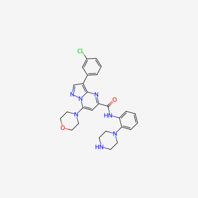 O=C(Nc1ccccc1N1CCNCC1)c1cc(N2CCOCC2)n2ncc(-c3cccc(Cl)c3)c2n1